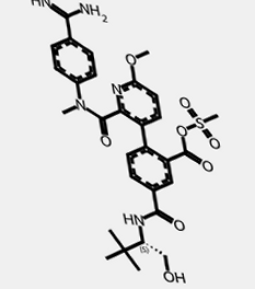 COc1ccc(-c2ccc(C(=O)N[C@H](CO)C(C)(C)C)cc2C(=O)OS(C)(=O)=O)c(C(=O)N(C)c2ccc(C(=N)N)cc2)n1